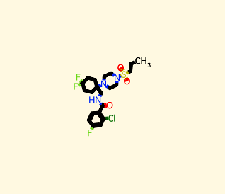 CCCS(=O)(=O)N1CCN(C2(CNC(=O)c3ccc(F)cc3Cl)CCC(F)(F)CC2)CC1